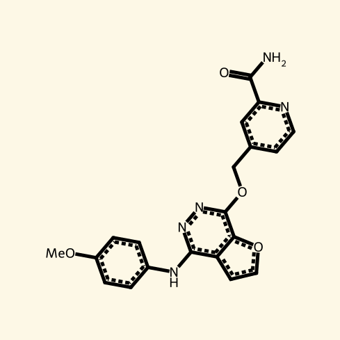 COc1ccc(Nc2nnc(OCc3ccnc(C(N)=O)c3)c3occc23)cc1